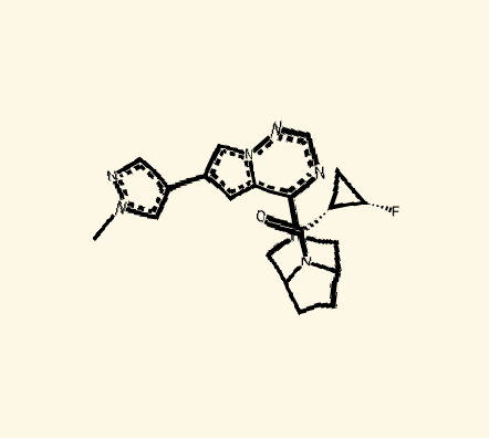 Cn1cc(-c2cc3c(N4CC5CCC(C4)N5C(=O)[C@@H]4C[C@@H]4F)ncnn3c2)cn1